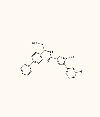 O=C(O)CC(NC(=O)c1cc(O)n(-c2cccc(F)c2)n1)c1ccc(-c2ccccn2)cc1